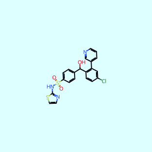 O=S(=O)(Nc1nccs1)c1ccc(C(O)c2ccc(Cl)cc2-c2cccnc2)cc1